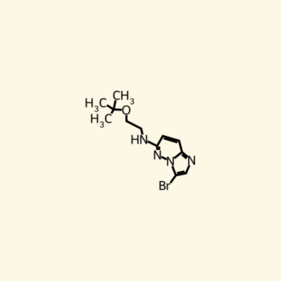 CC(C)(C)OCCNc1ccc2ncc(Br)n2n1